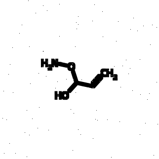 C=CC(O)ON